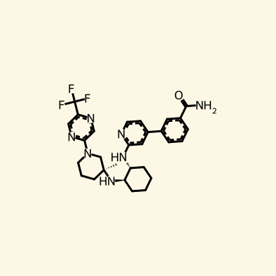 C[C@]1(N[C@@H]2CCCC[C@H]2Nc2cc(-c3cccc(C(N)=O)c3)ccn2)CCCN(c2cnc(C(F)(F)F)cn2)C1